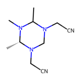 CC1N(CC#N)CN(CC#N)[C@H](C)N1C